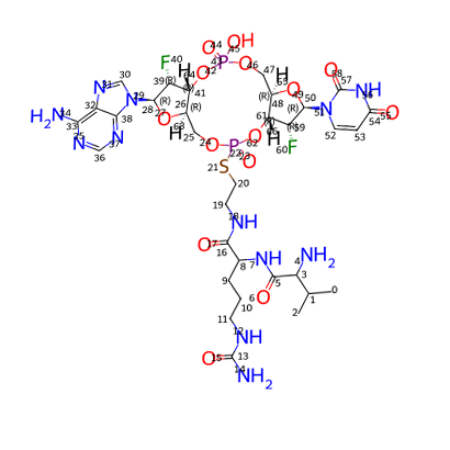 CC(C)C(N)C(=O)NC(CCCNC(N)=O)C(=O)NCCSP1(=O)OC[C@H]2O[C@@H](n3cnc4c(N)ncnc43)[C@H](F)[C@@H]2OP(=O)(O)OC[C@H]2O[C@@H](n3ccc(=O)[nH]c3=O)[C@H](F)[C@@H]2O1